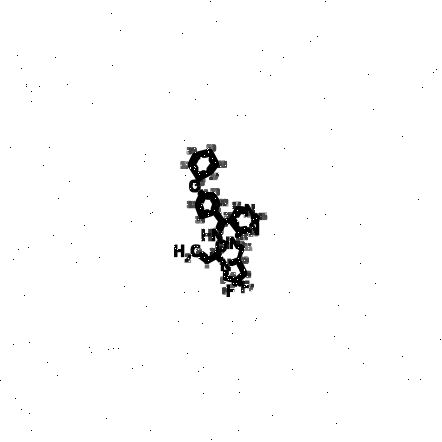 C=CC(=O)N1CC(F)(F)C[C@@H]1CNc1ncncc1C(=N)c1ccc(Oc2ccccc2)cc1